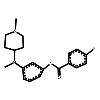 CN1CCC(N(C)c2cccc(NC(=O)c3ccc(F)cc3)c2)CC1